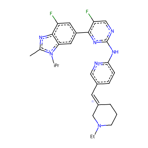 CCN1CCC/C(=C\c2ccc(Nc3ncc(F)c(-c4cc(F)c5nc(C)n(C(C)C)c5c4)n3)nc2)C1